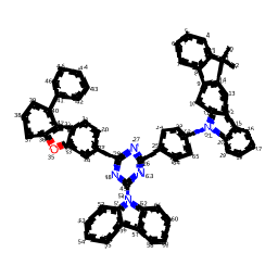 CC1(C)c2ccccc2-c2cc3c(cc21)c1ccccc1n3-c1ccc(-c2nc(-c3ccc4c(c3)oc3cccc(-c5ccccc5)c34)nc(-n3c4ccccc4c4ccccc43)n2)cc1